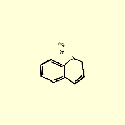 C1=Cc2ccccc2OC1.[Ag].[Ni]